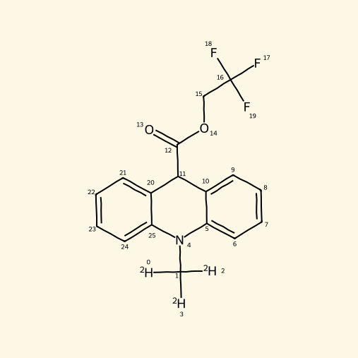 [2H]C([2H])([2H])N1c2ccccc2C(C(=O)OCC(F)(F)F)c2ccccc21